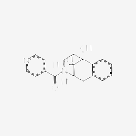 C[C@@H]1[C@H]2Cc3ccccc3[C@]1(C)CCN2C(=O)c1ccncc1